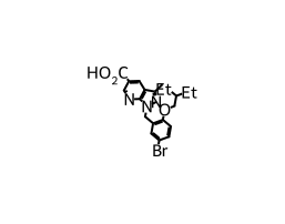 CCC(CC)COc1ccc(Br)cc1Cn1nc(C)c2cc(C(=O)O)cnc21